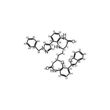 O=C1C[C@@H](CC[C@@H]2CC(=O)Nc3cccc(-c4cc5ccccc5o4)c3O2)Nc2c(cccc2-c2cnn(Cc3ccccc3)c2)N1